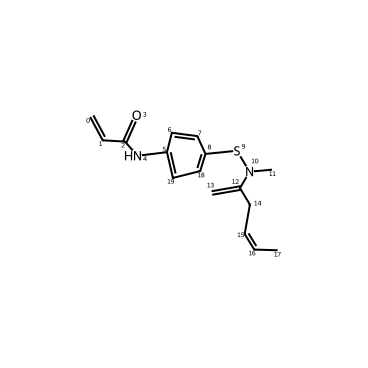 C=CC(=O)Nc1ccc(SN(C)C(=C)C/C=C\C)cc1